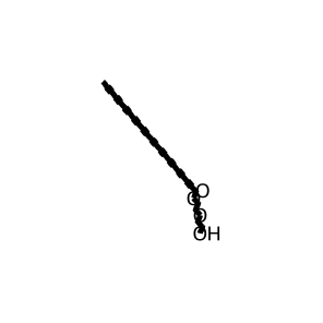 CC#CC#CC#CC#CC#CC#CC#CC#CC#CC#CC(=O)OCCOCCO